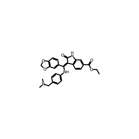 CCOC(=O)c1ccc2c(c1)NC(=O)C2=C(Nc1ccc(CN(C)C)cc1)c1ccc2c(c1)OCO2